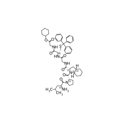 CC(C)C[C@H](N)C(=O)N1CCC[C@H]1C(=O)N1[C@H](C(=O)NCC(=O)N[C@@H](CSC(c2ccccc2)(c2ccccc2)c2ccccc2)C(=O)NCC(=O)OC2CCCCC2)C[C@@H]2CCCC[C@@H]21